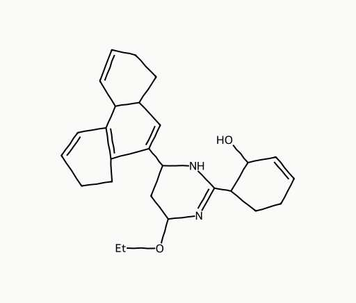 CCOC1CC(C2=CC3CCC=CC3C3=C2CCC=C3)NC(C2CCC=CC2O)=N1